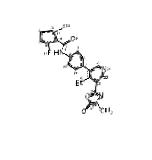 CCc1c(-c2ccc(NC(=O)c3c(F)cccc3F)cc2)cncc1-c1nn(C)c(=O)o1